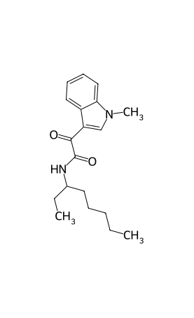 CCCCCC(CC)NC(=O)C(=O)c1cn(C)c2ccccc12